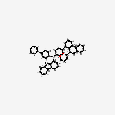 c1ccc(-c2ccc(N(c3ccc(-c4cccc5c4c(-c4ccccc4)cc4ccccc45)cc3)c3cccc4c3oc3ccccc34)cc2)cc1